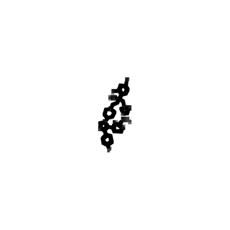 Nc1nccc(-c2c(-c3ccc(F)cc3)ncn2C2CCN(CC[C@](O)(Cn3cncn3)c3ccc(F)cc3F)CC2)n1